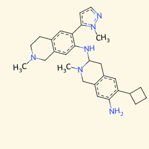 CN1CCc2cc(-c3ccnn3C)c(NC3Cc4cc(C5CCC5)c(N)cc4CN3C)cc2C1